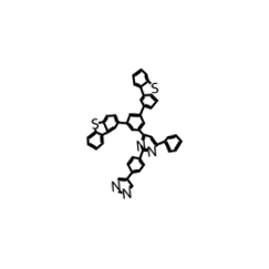 c1ccc(-c2cc(-c3cc(-c4ccc5sc6ccccc6c5c4)cc(-c4ccc5sc6ccccc6c5c4)c3)nc(-c3ccc(-c4cncnc4)cc3)n2)cc1